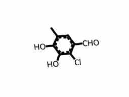 Cc1cc(C=O)c(Cl)c(O)c1O